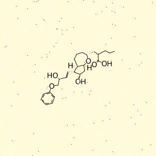 CCCC(C[C@H]1CCC[C@@H]2[C@@H](/C=C/[C@@H](O)COc3ccccc3)[C@H](O)C[C@@H]2O1)C(=O)O